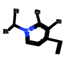 C=Cc1cc[n+](C(CC)CC)c(CC)c1CC